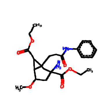 CCOC(=O)C1C2C(OC)CC(N)(C(=O)OCC)C12CC(=O)Nc1ccccc1